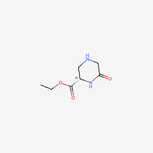 CCOC(=O)[C@@H]1CNCC(=O)N1